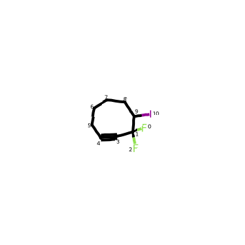 FC1(F)C#CCCCCC1I